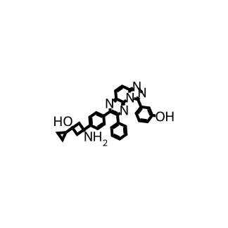 NC1(c2ccc(-c3nc4ccc5nnc(-c6cccc(O)c6)n5c4nc3-c3ccccc3)cc2)CC(O)(C2CC2)C1